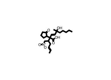 CC=CCC(C[N+](=O)[O-])C(C=CC(C)(O)CCCCC)(C(=O)O)C1CCCC1=O